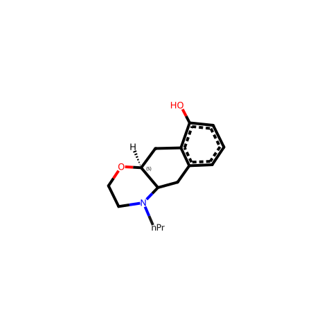 CCCN1CCO[C@H]2Cc3c(O)cccc3CC21